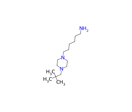 CC(C)(C)CN1CCN(CCCCCCN)CC1